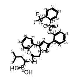 CC(C)CC(NC(=O)Cn1nc(-c2ccccc2OS(=O)(=O)c2ccccc2C(F)(F)F)cc1-c1ccccc1)B(O)O